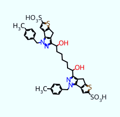 Cc1ccc(Cn2nc(C(O)CCCCCC(O)c3nn(Cc4ccc(C)cc4)c4c3Cc3sc(S(=O)(=O)O)cc3-4)c3c2-c2cc(S(=O)(=O)O)sc2C3)cc1